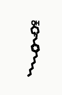 CCCCCCCCc1ccc(CCN2CCC(O)CC2)cc1